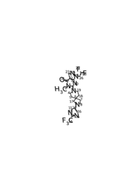 Cn1c(N2CCC3(CCN(c4cnc(C(F)(F)F)nc4)C3)CC2)nc2c(cnn2CC(F)F)c1=O